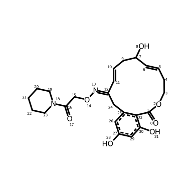 O=C1OCC/C=C/C(O)C/C=C/C(=N/OCC(=O)N2CCCCC2)Cc2cc(O)cc(O)c21